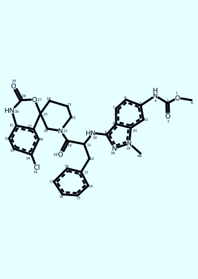 COC(=O)Nc1ccc2c(NC(Cc3ccccc3)C(=O)N3CCCC4(C3)OC(=O)Nc3ccc(Cl)cc34)nn(C)c2c1